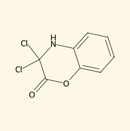 O=C1Oc2ccccc2NC1(Cl)Cl